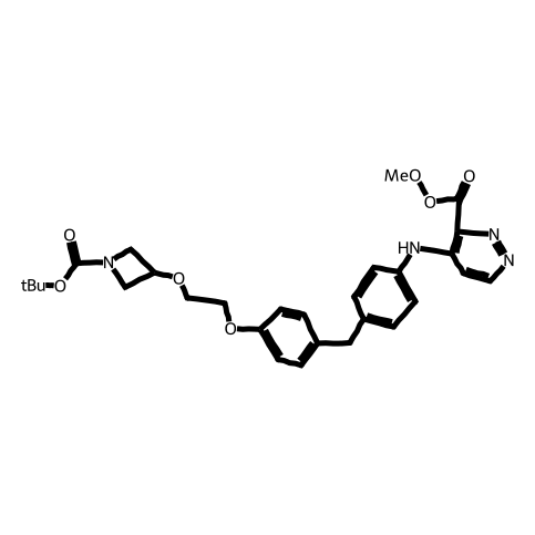 COOC(=O)c1nnccc1Nc1ccc(Cc2ccc(OCCOC3CN(C(=O)OC(C)(C)C)C3)cc2)cc1